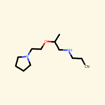 CC(CNCCC#N)OCCN1CCCC1